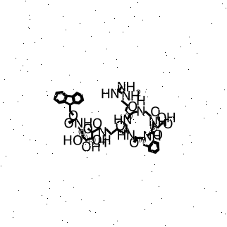 N=C(N)NCCC[C@@H]1NC(=O)[C@H](CCCCNC(=O)C2O[C@H](CNC(=O)OCC3c4ccccc4-c4ccccc43)[C@H](O)C(O)[C@@H]2O)NC(=O)[C@@H](Cc2ccccc2)NC(=O)[C@H](CC(=O)O)NC(=O)CNC1=O